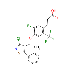 Cc1ccccc1-c1snc(Cl)c1COc1cc(C(F)(F)F)c(CCC(=O)O)cc1F